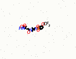 O=C1N[C@H](CCC(=O)N2CC3(C2)CN(S(=O)(=O)c2cccc(OC(F)(F)F)c2)C3)CO1